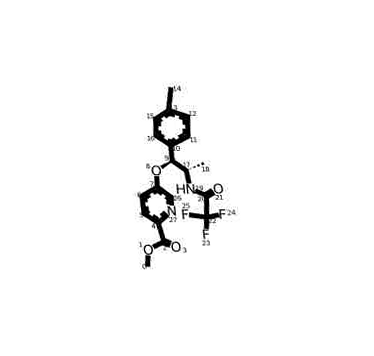 COC(=O)c1ccc(O[C@@H](c2ccc(C)cc2)[C@H](C)NC(=O)C(F)(F)F)cn1